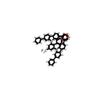 N#Cc1cccc(-c2c(-n3c4cc(-c5ccccc5)ccc4c4ccc(-c5ccccc5)cc43)cc(C(F)(F)F)cc2-n2c3cc(-c4ccccc4)ccc3c3ccc(-c4ccccc4)cc32)c1